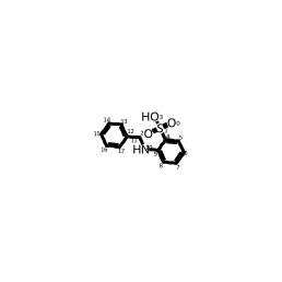 O=S(=O)(O)c1c[c]ccc1NCc1ccccc1